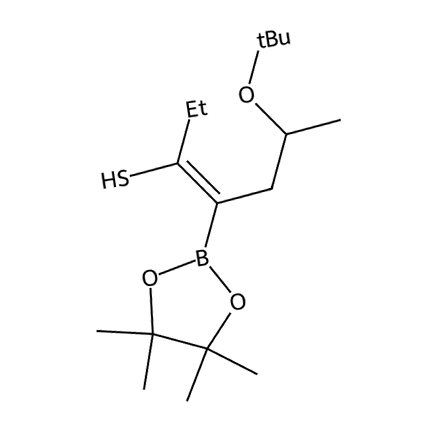 CC/C(S)=C(\CC(C)OC(C)(C)C)B1OC(C)(C)C(C)(C)O1